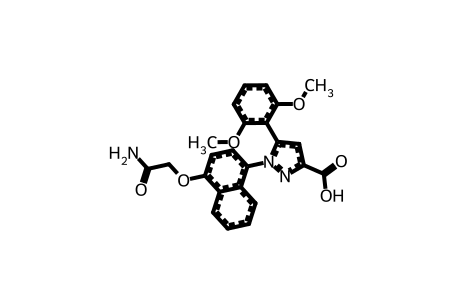 COc1cccc(OC)c1-c1cc(C(=O)O)nn1-c1ccc(OCC(N)=O)c2ccccc12